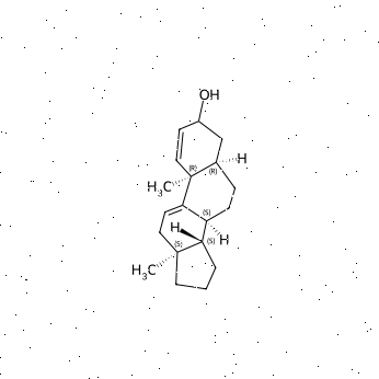 C[C@]12CC=C3[C@@H](CC[C@@H]4CC(O)C=C[C@]34C)[C@@H]1CCC2